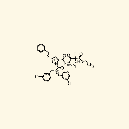 CC(C)[C@H](NC(=O)[C@@H]1C[C@@H](SCc2ccccc2)CN1C(=O)[C@@H](Cc1cccc(Cl)c1)Oc1cncc(Cl)c1)C(=O)C(F)(F)C(=O)NCC(F)(F)F